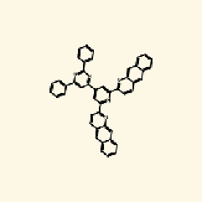 c1ccc(-c2cc(-c3cc(-c4ccc5cc6ccccc6cc5n4)nc(-c4ccc5cc6ccccc6cc5n4)c3)nc(-c3ccccc3)n2)cc1